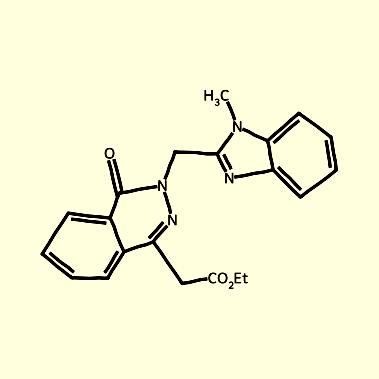 CCOC(=O)Cc1nn(Cc2nc3ccccc3n2C)c(=O)c2ccccc12